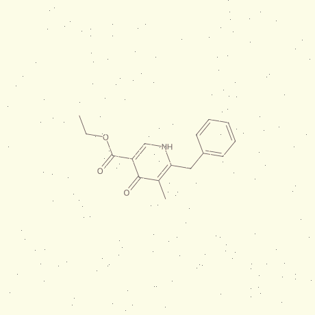 CCOC(=O)c1c[nH]c(Cc2ccccc2)c(C)c1=O